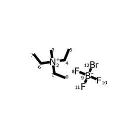 CC[N+](C)(CC)CC.F[B-](F)(F)Br